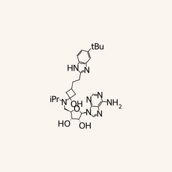 CC(C)N(C[C@H]1O[C@@H](n2cnc3c(N)ncnc32)[C@H](O)[C@@H]1O)C1(O)CC(CCc2nc3cc(C(C)(C)C)ccc3[nH]2)C1